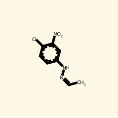 C/C=N\Nc1ccc(Cl)c([N+](=O)[O-])c1